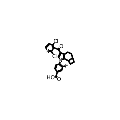 O=C(O)c1ccc(-n2cc(C(=O)c3c(Cl)ccnc3Cl)c3c2C2CCC2CC3)c(F)c1